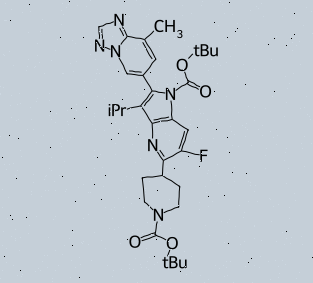 Cc1cc(-c2c(C(C)C)c3nc(C4CCN(C(=O)OC(C)(C)C)CC4)c(F)cc3n2C(=O)OC(C)(C)C)cn2ncnc12